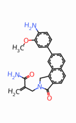 C=C(CN1Cc2c(ccc3ccc(-c4ccc(N)c(OC)c4)cc23)C1=O)C(N)=O